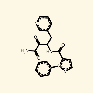 NC(=O)C(=O)C(Cc1cccnc1)NC(=O)c1ccnn1-c1ccccc1